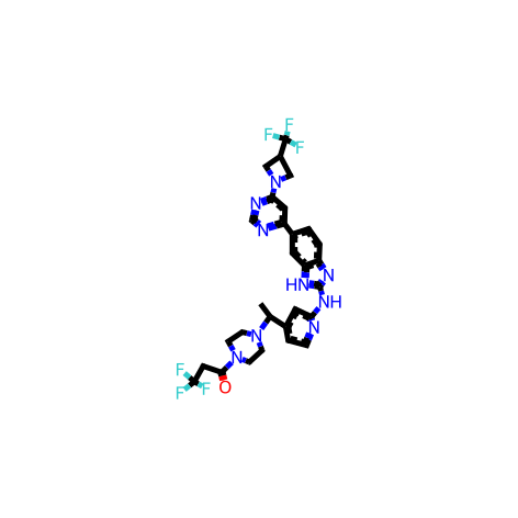 CC(c1ccnc(Nc2nc3ccc(-c4cc(N5CC(C(F)(F)F)C5)ncn4)cc3[nH]2)c1)N1CCN(C(=O)CC(F)(F)F)CC1